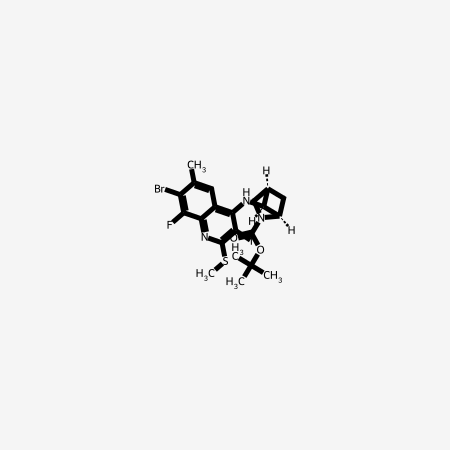 CSc1nc2c(F)c(Br)c(C)cc2c(N[C@H]2[C@@H]3C[C@H]2N(C(=O)OC(C)(C)C)C3)c1I